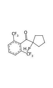 O=C(c1c(C(F)(F)F)cccc1C(F)(F)F)C1(P)CCCC1